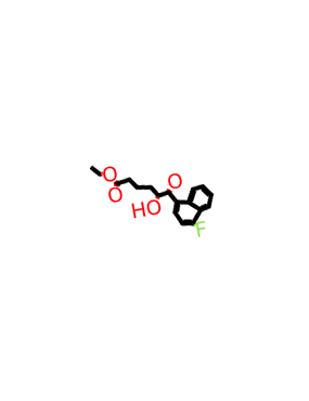 CCOC(=O)CCCC(O)C(=O)c1ccc(F)c2ccccc12